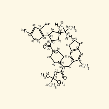 Cc1cc2c(cc1C[C@@H](C(=O)OC(C)(C)C)N1CCN(C(=O)[C@@H]3CN(C(C)(C)C)C[C@H]3c3ccc(F)cc3F)CC1)CCC2